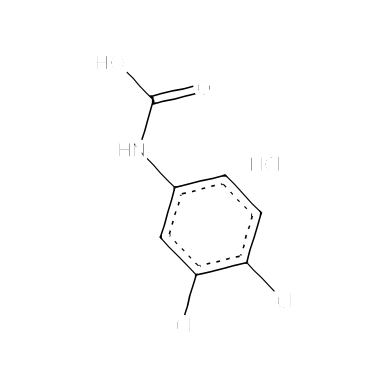 Cl.O=C(O)Nc1ccc(Cl)c(Cl)c1